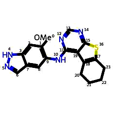 COc1cc2[nH]ncc2cc1Nc1ncnc2sc3c(c12)CCCC3